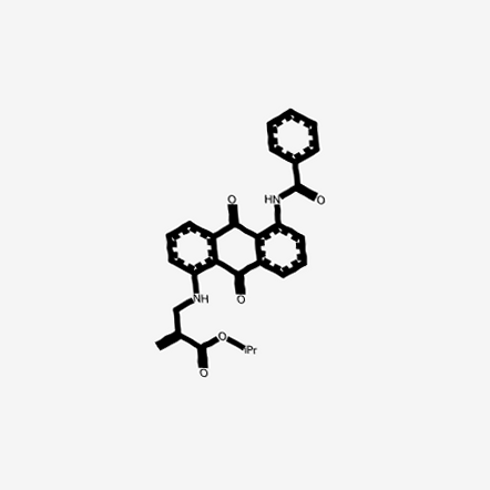 C=C(CNc1cccc2c1C(=O)c1cccc(NC(=O)c3ccccc3)c1C2=O)C(=O)OC(C)C